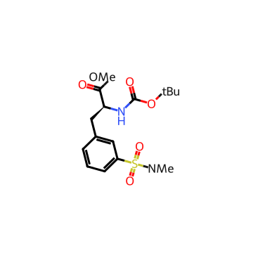 CNS(=O)(=O)c1cccc(C[C@H](NC(=O)OC(C)(C)C)C(=O)OC)c1